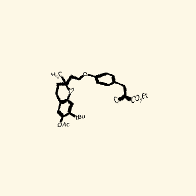 CCOC(=O)C(Cl)Cc1ccc(OCCC2(C)CCc3cc(OC(C)=O)c(C(C)(C)C)cc3O2)cc1